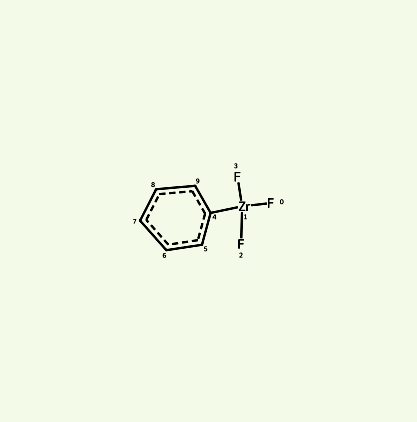 [F][Zr]([F])([F])[c]1ccccc1